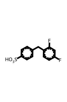 O=S(=O)(O)c1ccc(Cc2ccc(F)cc2F)cc1